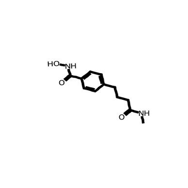 CNC(=O)CCCc1ccc(C(=O)NO)cc1